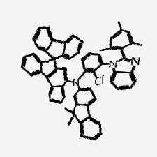 Cc1cc(C)c(-c2nc3ccccc3n2-c2cccc(N(c3ccc4c(c3)C(C)(C)c3ccccc3-4)c3cc4c(c5ccccc35)-c3ccccc3C43c4ccccc4-c4ccccc43)c2Cl)c(C)c1